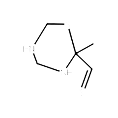 CC1(C=S)NCNCS1